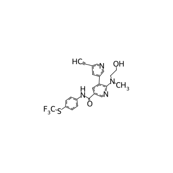 C#Cc1cncc(-c2cc(C(=O)Nc3ccc(SC(F)(F)F)cc3)cnc2N(C)CCO)c1